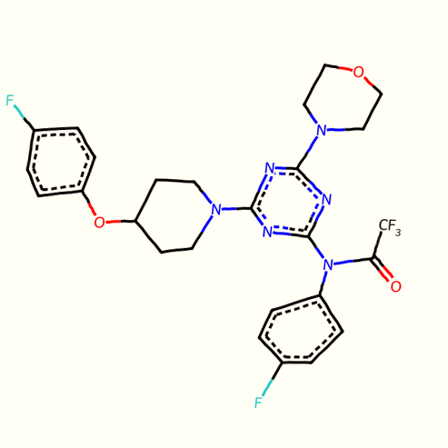 O=C(N(c1ccc(F)cc1)c1nc(N2CCOCC2)nc(N2CCC(Oc3ccc(F)cc3)CC2)n1)C(F)(F)F